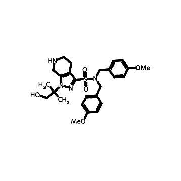 COc1ccc(CN(Cc2ccc(OC)cc2)S(=O)(=O)c2nn(C(C)(C)CO)c3c2CCNC3)cc1